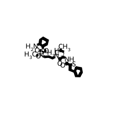 CON(CCCNC(=O)[C@H](CC(C)C)NC(=O)c1cc2ccccc2s1)S(=O)(=O)c1ccccc1N